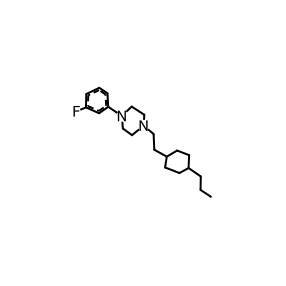 CCCC1CCC(CCN2CCN(c3cccc(F)c3)CC2)CC1